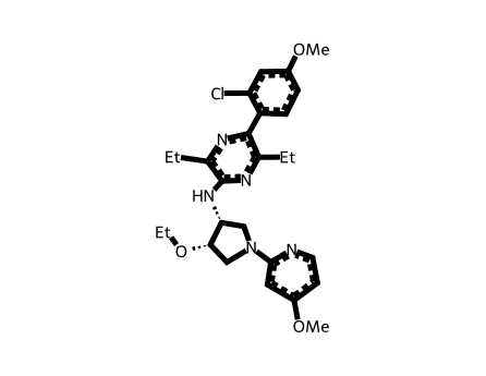 CCO[C@H]1CN(c2cc(OC)ccn2)C[C@H]1Nc1nc(CC)c(-c2ccc(OC)cc2Cl)nc1CC